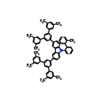 FC(F)(F)c1cc(-c2cc(-c3cc(C(F)(F)F)cc(C(F)(F)F)c3)cc(-c3ccc4c(c3)c3cc(-c5cc(-c6cc(C(F)(F)F)cc(C(F)(F)F)c6)cc(-c6cc(C(F)(F)F)cc(C(F)(F)F)c6)c5)ccc3n4-c3ccccc3-c3ccccc3C(F)(F)F)c2)cc(C(F)(F)F)c1